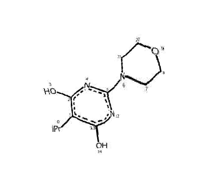 CC(C)c1c(O)nc(N2CCOCC2)nc1O